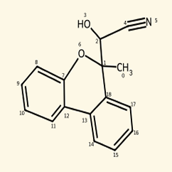 CC1(C(O)C#N)Oc2ccccc2-c2ccccc21